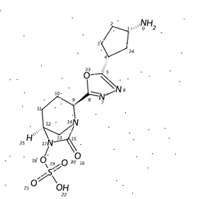 N[C@H]1CC[C@@H](c2nnc([C@@H]3CC[C@H]4CN3C(=O)N4OS(=O)(=O)O)o2)C1